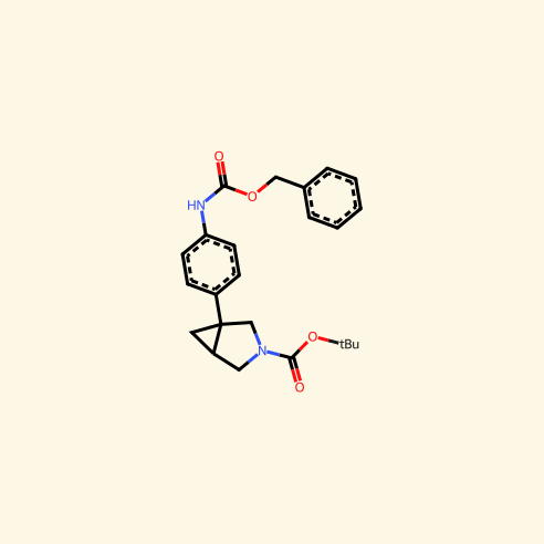 CC(C)(C)OC(=O)N1CC2CC2(c2ccc(NC(=O)OCc3ccccc3)cc2)C1